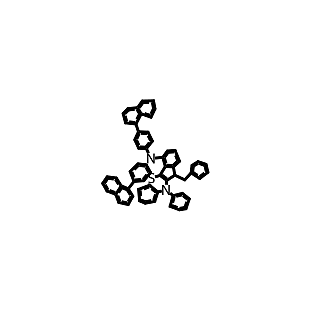 c1ccc(CC2C3=C(Sc4ccccc4N3c3ccccc3)c3c2cccc3N(c2ccc(-c3cccc4ccccc34)cc2)c2ccc(-c3cccc4ccccc34)cc2)cc1